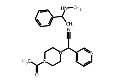 CC(=O)N1CCN(C(C#N)c2cccnc2)CC1.CNC(C)c1ccccc1